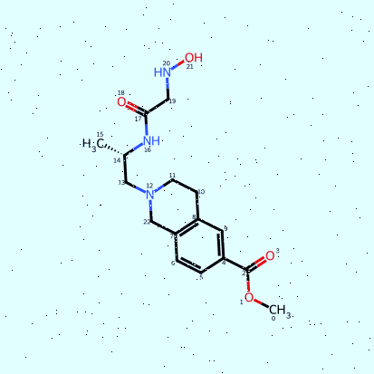 COC(=O)c1ccc2c(c1)CCN(C[C@H](C)NC(=O)CNO)C2